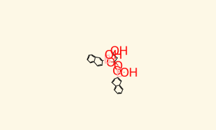 OCCC(OOB(O)c1ccc2ccccc2c1)OB(O)c1ccc2ccccc2c1